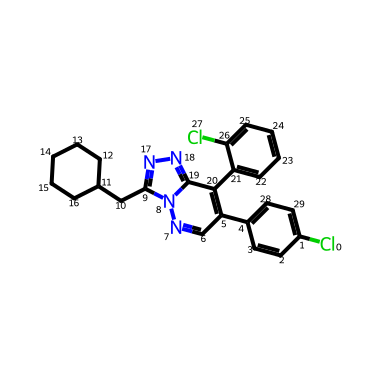 Clc1ccc(-c2cnn3c(CC4CCCCC4)nnc3c2-c2ccccc2Cl)cc1